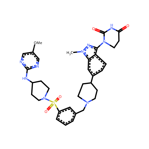 COc1cnc(NC2CCN(S(=O)(=O)c3cccc(CN4CCC(c5ccc6c(N7CCC(=O)NC7=O)nn(C)c6c5)CC4)c3)CC2)nc1